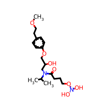 COCCc1ccc(OCC(O)CN(C(=O)CCCON(O)O)C(C)C)cc1